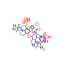 CC1(C)CC(CS(=O)(=O)O)c2cc3c(c4c2N1CCC4)OC1=C2CCC[N+]4=C2C(=CC1C31c2c(Cl)ccc(Cl)c2C(=O)N1CCN1CCNCC1)C(CS(=O)(=O)O)=CC4(C)C